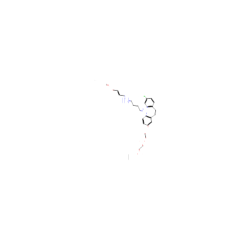 CCOC(=O)/C=C/CNCCCCN1c2ccc(OCCOCCOC)cc2CCc2ccc(Cl)cc21